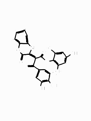 Cc1cc(C)c(OC(=O)C(C(=O)c2ccc(C)c(C)c2)=C2Nc3ccccc3OC2=O)c(C)c1